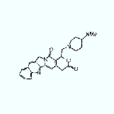 CNC1CCN(CC2OC(=O)Cc3cc4n(c(=O)c32)Cc2cc3ccccc3nc2-4)CC1